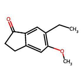 CCc1cc2c(cc1OC)CCC2=O